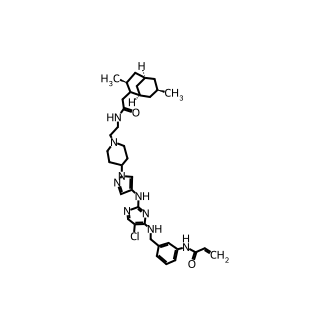 C=CC(=O)Nc1cccc(CNc2nc(Nc3cnn(C4CCN(CCNC(=O)CC5[C@@H]6C[C@H](C)C[C@@H](C6)C[C@@H]5C)CC4)c3)ncc2Cl)c1